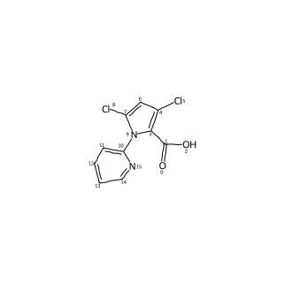 O=C(O)c1c(Cl)cc(Cl)n1-c1ccccn1